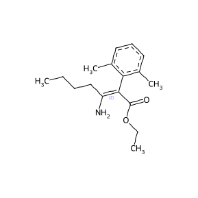 CCCC/C(N)=C(/C(=O)OCC)c1c(C)cccc1C